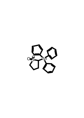 O=S1(=O)CCC[CH]1[Sn]([c]1ccccc1)([c]1ccccc1)[c]1ccccc1